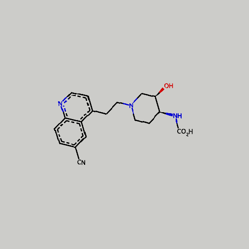 N#Cc1ccc2nccc(CCN3CC[C@H](NC(=O)O)[C@H](O)C3)c2c1